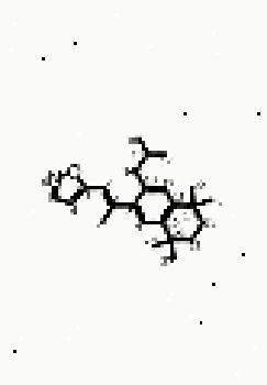 CC(=Cc1ccno1)c1cc2c(cc1CC(C)C)C(C)(C)CCC2(C)C